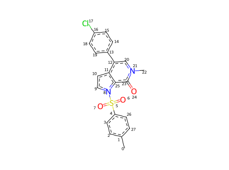 Cc1ccc(S(=O)(=O)n2ccc3c(-c4ccc(Cl)cc4)cn(C)c(=O)c32)cc1